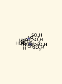 Cc1cc(Nc2nc(O)nc(Nc3ccc(/N=N/c4ccc5cc(S(=O)(=O)O)cc(S(=O)(=O)O)c5c4)c(C)c3)n2)ccc1/N=N/c1cc(S(=O)(=O)O)cc(S(=O)(=O)O)c1